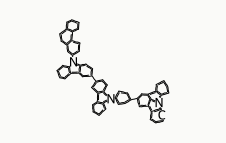 c1ccc2c(c1)ccc1cc(-n3c4ccccc4c4cc(-c5ccc6c(c5)c5ccccc5n6-c5ccc(-c6cc7c8ccccc8n8c9ccccc9c(c6)c78)cc5)ccc43)ccc12